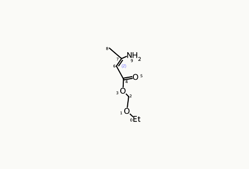 CCOCOC(=O)/C=C(/C)N